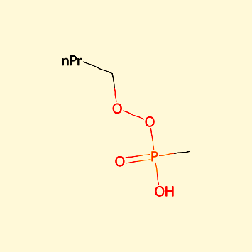 CCCCOOP(C)(=O)O